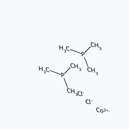 CP(C)C.CP(C)C.[Cl-].[Cl-].[Co+2]